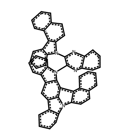 c1ccc2c(c1)ccc1c2c2ccccc2n1-c1nc2ccccc2nc1-n1c2ccccc2c2cc3c4ccccc4n4c5ccc6ccccc6c5c(c21)c34